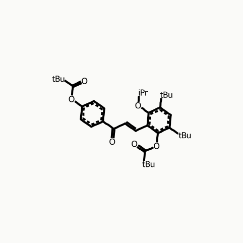 CC(C)Oc1c(C(C)(C)C)cc(C(C)(C)C)c(OC(=O)C(C)(C)C)c1/C=C/C(=O)c1ccc(OC(=O)C(C)(C)C)cc1